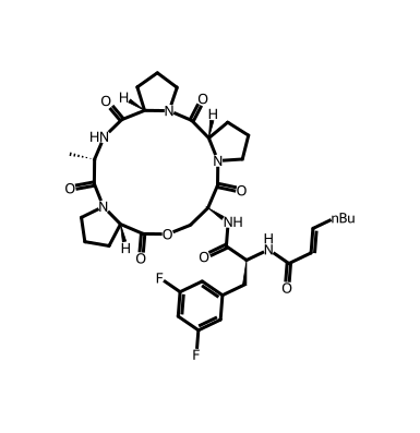 CCCC/C=C/C(=O)N[C@@H](Cc1cc(F)cc(F)c1)C(=O)N[C@H]1COC(=O)[C@@H]2CCCN2C(=O)[C@H](C)NC(=O)[C@@H]2CCCN2C(=O)[C@@H]2CCCN2C1=O